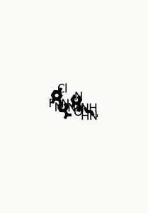 CNCCNC(=O)c1cnccc1Nc1nc(-c2cc(Cl)ccc2F)ncc1C(C)C